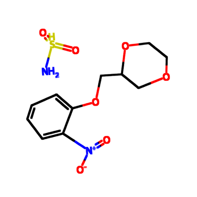 N[SH](=O)=O.O=[N+]([O-])c1ccccc1OCC1COCCO1